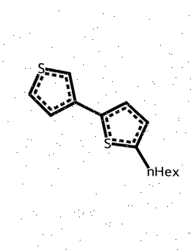 CCCCCCc1ccc(-c2ccsc2)s1